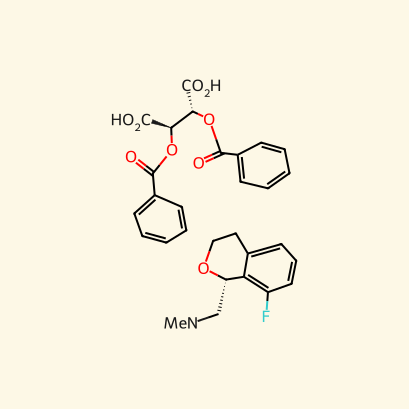 CNC[C@@H]1OCCc2cccc(F)c21.O=C(O[C@@H](C(=O)O)[C@@H](OC(=O)c1ccccc1)C(=O)O)c1ccccc1